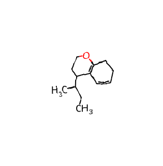 CCC(C)C1CCOC2=C1C=CCC2